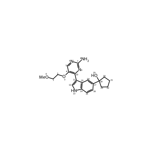 COCCOc1cnc(N)nc1-c1c[nH]c2ccc(C3(O)CCCC3)cc12